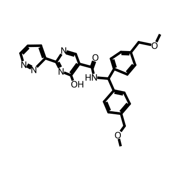 COCc1ccc(C(NC(=O)c2cnc(-c3cccnn3)nc2O)c2ccc(COC)cc2)cc1